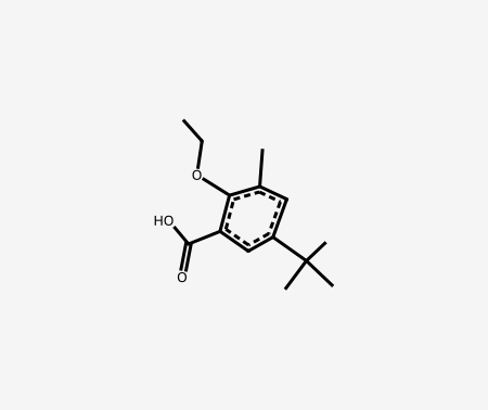 CCOc1c(C)cc(C(C)(C)C)cc1C(=O)O